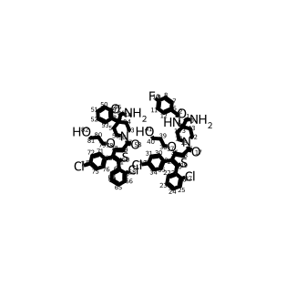 NC(=O)C1(NCc2ccc(F)cc2)CCN(C(=O)c2sc(-c3ccccc3Cl)c(-c3ccc(Cl)cc3)c2OCCCO)CC1.NC(=O)C1(c2ccccc2)CCN(C(=O)c2sc(-c3ccccc3Cl)c(-c3ccc(Cl)cc3)c2OCCCO)CC1